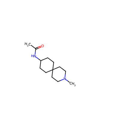 CC(=O)NC1CCC2(CC1)CCN(C)CC2